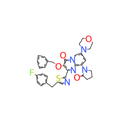 O=C1CCCN1c1cc(N2CCOCC2)cn2c(=O)c(OCc3ccccc3)c(-c3ncc(Cc4ccc(F)cc4)s3)nc12